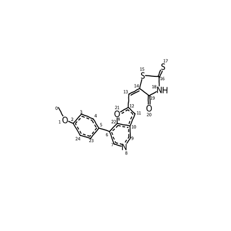 COc1ccc(-c2cncc3cc(C=C4SC(=S)NC4=O)oc23)cc1